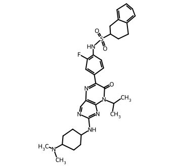 CC(C)n1c(=O)c(-c2ccc(NS(=O)(=O)C3CCc4ccccc4C3)c(F)c2)nc2cnc(NC3CCC(N(C)C)CC3)nc21